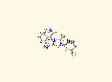 N#C[C@H]1CN(c2cc(Cl)cnn2)C(=O)N1c1cncc2ccccc12